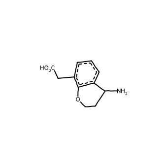 NC1CCOc2c(CC(=O)O)cccc21